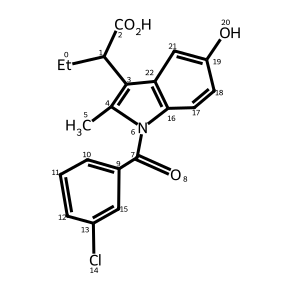 CCC(C(=O)O)c1c(C)n(C(=O)c2cccc(Cl)c2)c2ccc(O)cc12